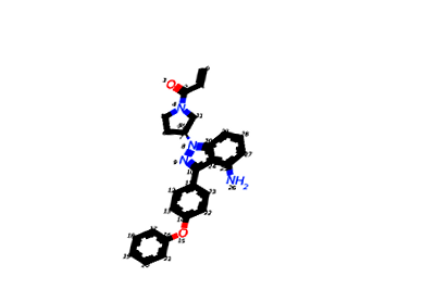 C=CC(=O)N1CC[C@@H](n2nc(-c3ccc(Oc4ccccc4)cc3)c3c(N)cccc32)C1